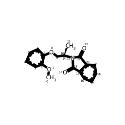 COc1ccccc1OC[C@@H](C)N1C(=O)c2ccccc2C1=O